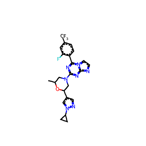 CC1CN(c2nc(-c3ccc(C(F)(F)F)cc3F)n3ccnc3n2)CC(c2cnn(C3CC3)c2)O1